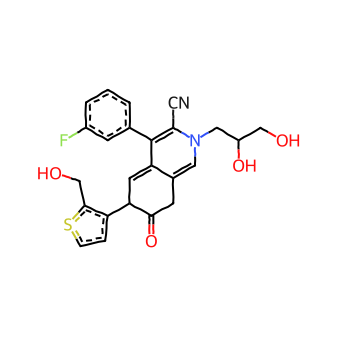 N#CC1=C(c2cccc(F)c2)C2=CC(c3ccsc3CO)C(=O)CC2=CN1CC(O)CO